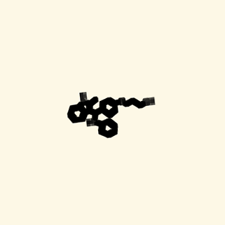 Cc1[nH]c2ccccc2c1C(Nc1ccccc1)c1ccc(OCCCO)cc1